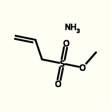 C=CCS(=O)(=O)OC.N